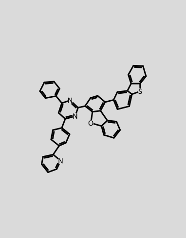 c1ccc(-c2cc(-c3ccc(-c4ccccn4)cc3)nc(-c3ccc(-c4ccc5sc6ccccc6c5c4)c4c3oc3ccccc34)n2)cc1